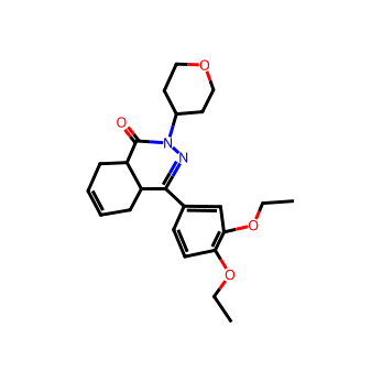 CCOc1ccc(C2=NN(C3CCOCC3)C(=O)C3CC=CCC23)cc1OCC